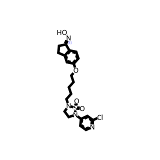 O=S1(=O)N(CCCCCOc2ccc3c(c2)CC/C3=N\O)CCN1c1ccnc(Cl)c1